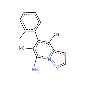 N#Cc1c(-c2ccccc2I)c(C#N)c2ccnn2c1N